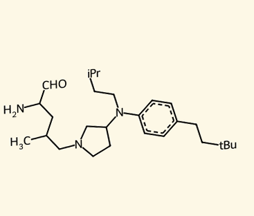 CC(C)CCN(c1ccc(CCC(C)(C)C)cc1)C1CCN(CC(C)CC(N)C=O)C1